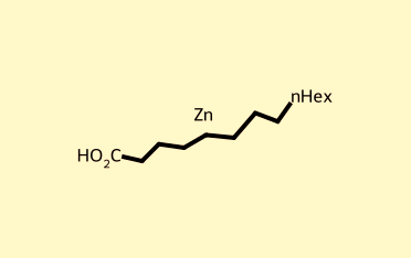 CCCCCCCCCCCCCC(=O)O.[Zn]